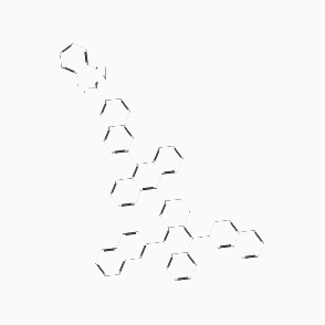 C1=C(c2c3ccccc3c(-c3ccc4cc(-c5nc6ccccc6s5)ccc4c3)c3ccccc23)CCc2c1c(-c1ccc3ccccc3c1)c1ccccc1c2C1C=c2ccccc2=CC1